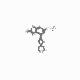 O=C(O)c1cc(C2CC3(CCOCC3)C2)c2cc(Br)sc2c1